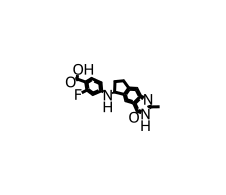 Cc1nc2cc3c(cc2c(=O)[nH]1)[C@@H](Nc1ccc(C(=O)O)c(F)c1)CC3